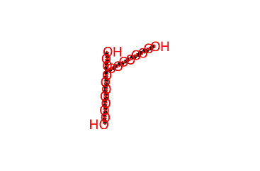 OCCOCCOCCOCCOCCOCCOCCOCC(COCCOCCO)COCCOCCOCCOCCOCCOCCOCCO